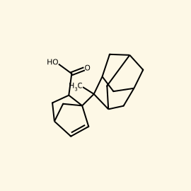 CC1(C23C=CC(CC2C(=O)O)C3)C2CC3CC(C2)CC1C3